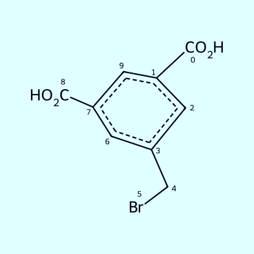 O=C(O)c1cc(CBr)cc(C(=O)O)c1